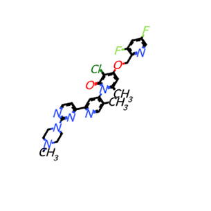 Cc1cnc(-c2ccnc(N3CCN(C)CC3)n2)cc1-n1c(C)cc(OCc2ncc(F)cc2F)c(Cl)c1=O